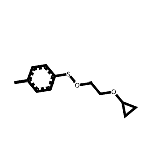 Cc1ccc(SOCCOC2CC2)cc1